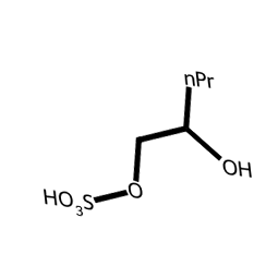 CCCC(O)COS(=O)(=O)O